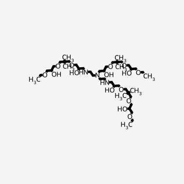 CCOCC(O)COCC(C)(C)COCC(O)CNCCN(CCNCC(O)COCC(C)(C)COCC(O)COCC)CC(O)COCC(C)(C)COCC(O)COCC